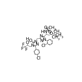 CC(C)(C)OCC(NS(C)(=O)=O)c1nc(Cn2nc(-c3ccc(Cl)cc3)n(CC(O)C(F)(F)F)c2=O)nn1-c1ccccc1Cl